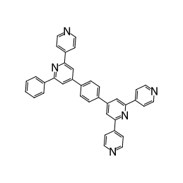 c1ccc(-c2cc(-c3ccc(-c4cc(-c5ccncc5)nc(-c5ccncc5)c4)cc3)cc(-c3ccncc3)n2)cc1